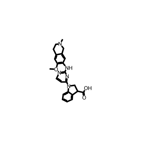 COc1cc2c(cc1Nc1nccc(N3CC(C(=O)O)c4ccccc43)n1)CN(C)CC2